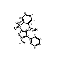 CC(C)c1sc2c(c1-c1ccccc1)N(C(C)C)c1ccccc1S2(=O)=O